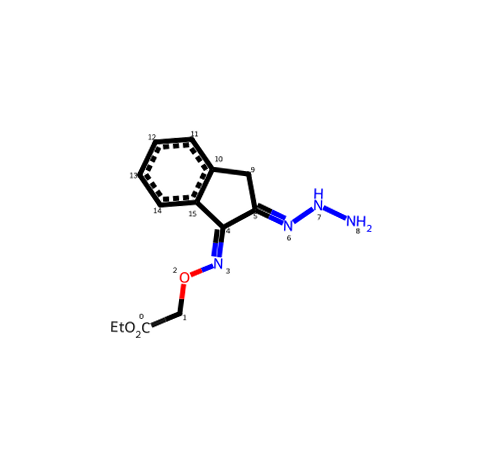 CCOC(=O)CO/N=C1/C(=N/NN)Cc2ccccc21